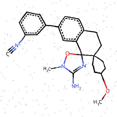 [C-]#[N+]c1cccc(-c2ccc3c(c2)C2(N=C(N)N(C)O2)C2(CC3)CCC(OC)CC2)c1